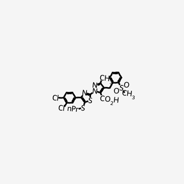 CCCSc1sc(-n2nc(C)c(Cc3ccccc3S(C)(=O)=O)c2C(=O)O)nc1-c1ccc(Cl)c(Cl)c1